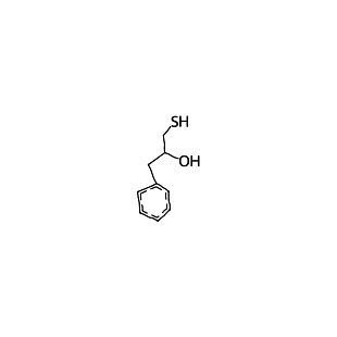 OC(CS)Cc1ccccc1